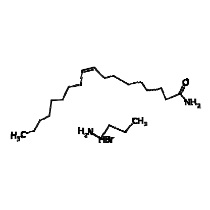 Br.CCCCCCCC/C=C\CCCCCCCC(N)=O.CCCCN